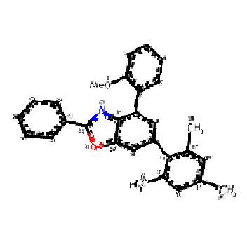 COc1ccccc1-c1cc(-c2c(C)cc(C)cc2C)cc2oc(-c3ccccc3)nc12